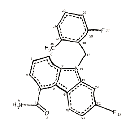 NC(=O)c1cccc2c1c1[c]cc(F)cc1n2Cc1c(F)cccc1C(F)(F)F